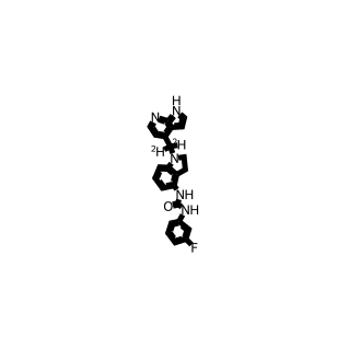 [2H]C([2H])(c1ccnc2[nH]ccc12)N1CCc2c(NC(=O)Nc3cccc(F)c3)cccc21